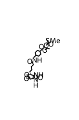 CSC(=O)OC(C)OC(=O)C1CCC(CNC(=O)CCCC[C@H]2C3NC(=O)NC3CS2(=O)=O)CC1